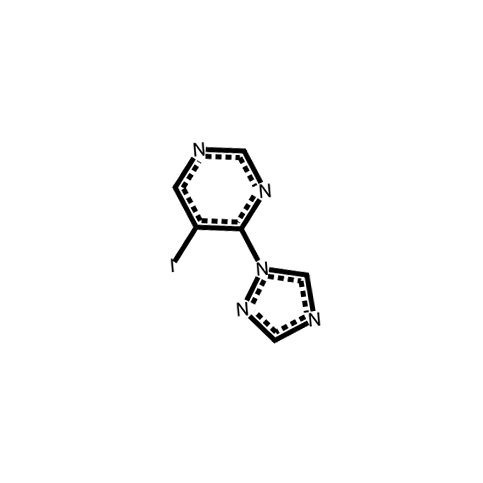 Ic1cncnc1-n1cncn1